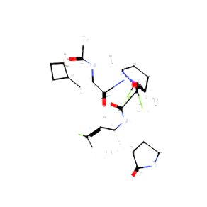 CCOC(=O)/C(F)=C\[C@@H](C[C@@H]1CCNC1=O)NC(=O)[C@@H]1[C@@H]2CC[C@@H](CC2(F)F)N1C(=O)[C@H](CC1CCC1)NC(=O)C(F)(F)F